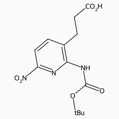 CC(C)(C)OC(=O)Nc1nc([N+](=O)[O-])ccc1CCC(=O)O